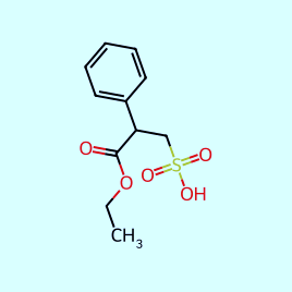 CCOC(=O)C(CS(=O)(=O)O)c1ccccc1